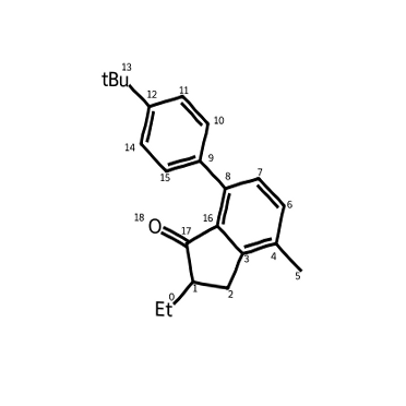 CCC1Cc2c(C)ccc(-c3ccc(C(C)(C)C)cc3)c2C1=O